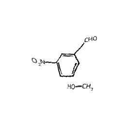 CO.O=Cc1cccc([N+](=O)[O-])c1